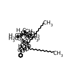 CCCCCCCCCCCCCCCC(=O)O[C@@H]1[C@H](OC(=O)CCCCCCCCCCCCCCC)[C@H](OOC[C@H]2OC(C)(C)O[C@H]2[C@@H]2OC(C)(C)O[C@@H]2CO[Si](C)(C)C(C)(C)C)O[C@@H]2COC(c3ccccc3)O[C@@H]12